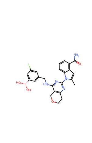 Cc1cc2c(C(N)=O)cccc2n1-c1nc2c(c(NCc3cc(F)cc(B(O)O)c3)n1)COCC2